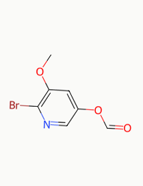 COc1cc(OC=O)cnc1Br